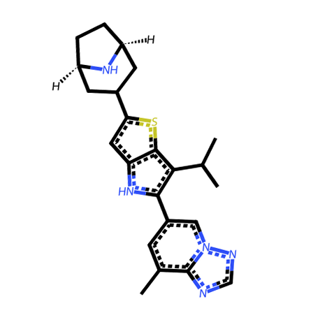 Cc1cc(-c2[nH]c3cc(C4C[C@H]5CC[C@@H](C4)N5)sc3c2C(C)C)cn2ncnc12